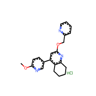 COc1ccc(-c2cc(OCc3ccccn3)nc3c2CCCC3)cn1.Cl